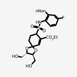 CCCCCCCCCc1cc(F)ccc1NS(=O)(=O)C1CCC2(C=C1C(=O)OCC)O[C@@H](CO)[C@H](CO)O2